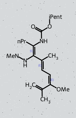 C=C(C)\C(=C/C=C(C)/C(NNC)=C(/CCC)NC(=O)OC(C)CCC)OC